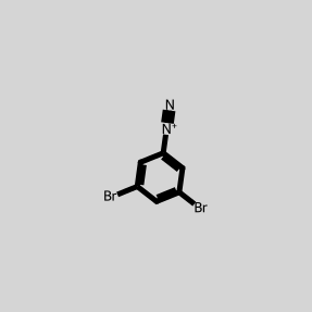 N#[N+]c1cc(Br)cc(Br)c1